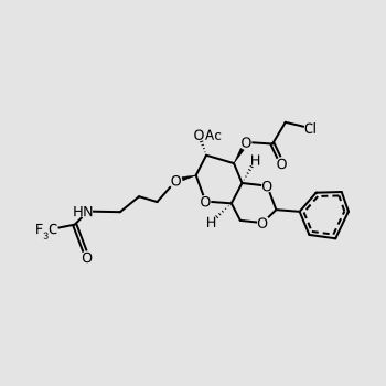 CC(=O)O[C@H]1[C@H](OCCCNC(=O)C(F)(F)F)O[C@@H]2COC(c3ccccc3)O[C@@H]2[C@@H]1OC(=O)CCl